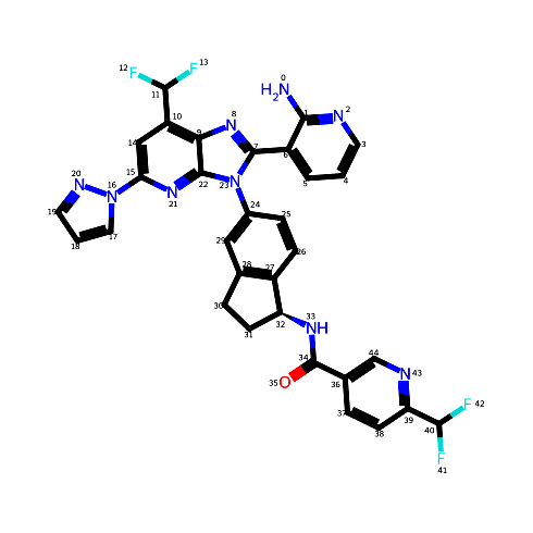 Nc1ncccc1-c1nc2c(C(F)F)cc(-n3cccn3)nc2n1-c1ccc2c(c1)CC[C@@H]2NC(=O)c1ccc(C(F)F)nc1